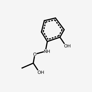 CC(O)ONc1ccccc1O